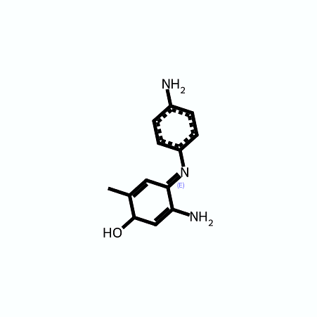 CC1=C/C(=N\c2ccc(N)cc2)C(N)=CC1O